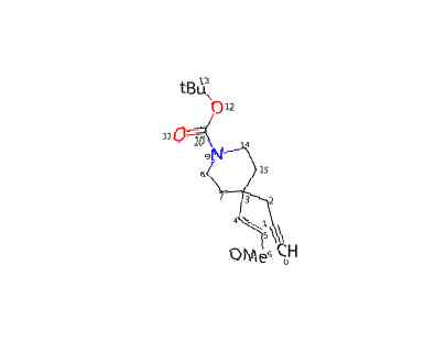 C#CCC1(/C=C/OC)CCN(C(=O)OC(C)(C)C)CC1